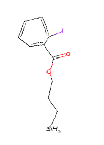 O=C(OCCC[SiH3])c1ccccc1I